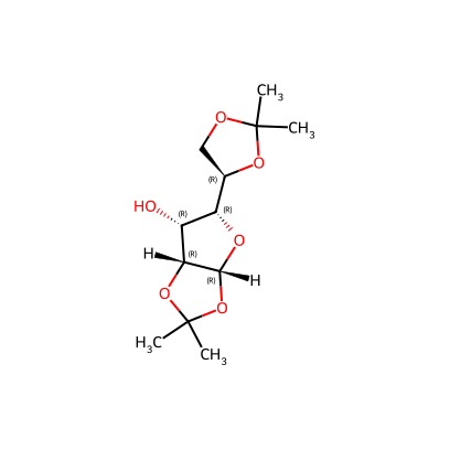 CC1(C)O[C@H]2O[C@@H]([C@H]3COC(C)(C)O3)[C@@H](O)[C@H]2O1